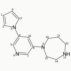 c1ccn(-c2cncc(N3CCCNCC3)c2)c1